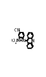 [C-]#[N+]c1ccc(Nc2c3ccccc3nc3ccccc23)c([N+](=O)[O-])c1